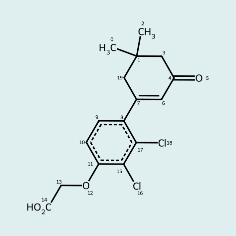 CC1(C)CC(=O)C=C(c2ccc(OCC(=O)O)c(Cl)c2Cl)C1